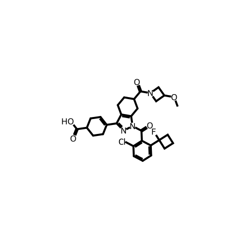 COC1CN(C(=O)C2CCc3c(C4=CCC(C(=O)O)CC4)nn(C(=O)c4c(Cl)cccc4C4(F)CCC4)c3C2)C1